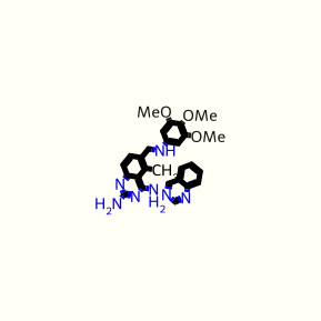 COc1cc(NCc2ccc3nc(N)nc(N)c3c2C)cc(OC)c1OC.c1ccc2ncncc2c1